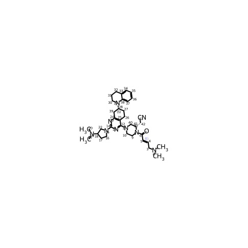 CN(C)C/C=C/C(=O)N1CCN(c2nc(N3CCC(N(C)C)C3)nc3c2CC[C@H](N2CCCc4ccccc42)C3)C[C@@H]1CC#N